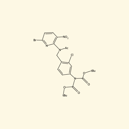 CC(=O)N(Cc1ccc(N(C(=O)OC(C)(C)C)C(=O)OC(C)(C)C)cc1Cl)c1nc(Br)ccc1[N+](=O)[O-]